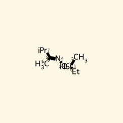 CC[SiH](C)ON=C(C)C(C)C